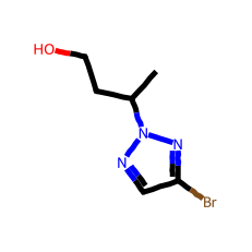 CC(CCO)n1ncc(Br)n1